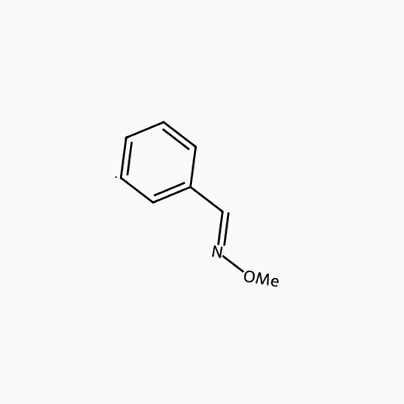 CON=Cc1c[c]ccc1